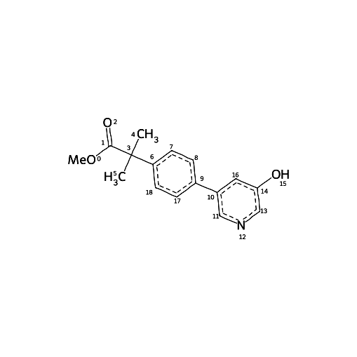 COC(=O)C(C)(C)c1ccc(-c2cncc(O)c2)cc1